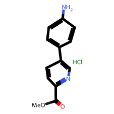 COC(=O)c1ccc(-c2ccc(N)cc2)cn1.Cl